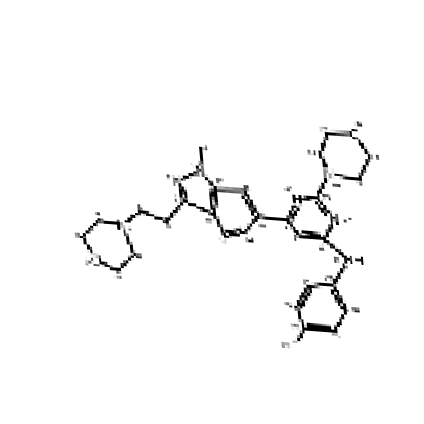 Cn1nc(CCN2CCOCC2)c2ccc(-c3cc(Nc4ccc(F)cc4)nc(N4CCOCC4)n3)cc21